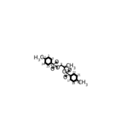 Cc1ccc(S(=O)(=O)OCC(C)OS(=O)(=O)c2ccc(C)cc2)cc1